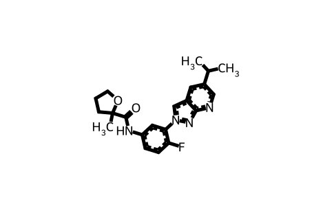 CC(C)c1cnc2nn(-c3cc(NC(=O)C4(C)CCCO4)ccc3F)cc2c1